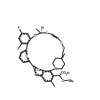 Cc1cc2nc3cn2c(c1[C@H](OC(C)(C)C)C(=O)O)N1CCC(C)(CC1)OC/C=C\C[C@H](C)Oc1cc(F)cc(F)c1-c1cccc-3c1